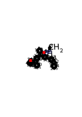 C=C/C=C\C=C(/C)c1ccccc1N(c1ccc(-c2ccc3sc4ccccc4c3c2)cc1)c1ccc2c(c1)-c1ccccc1C21C2CC3CC(C2)CC1C3